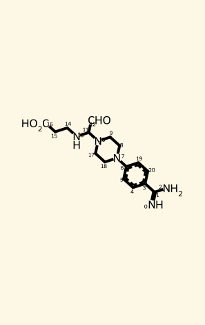 N=C(N)c1ccc(N2CCN(C(C=O)NCCC(=O)O)CC2)cc1